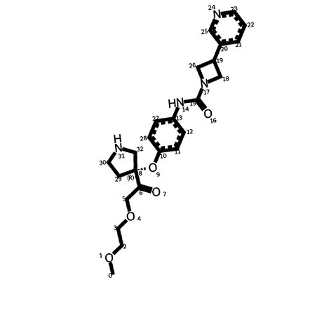 COCCOCC(=O)[C@@]1(Oc2ccc(NC(=O)N3CC(c4cccnc4)C3)cc2)CCNC1